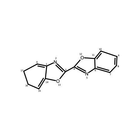 C1=c2nc(-c3nc4ccccc4o3)oc2=CCC1